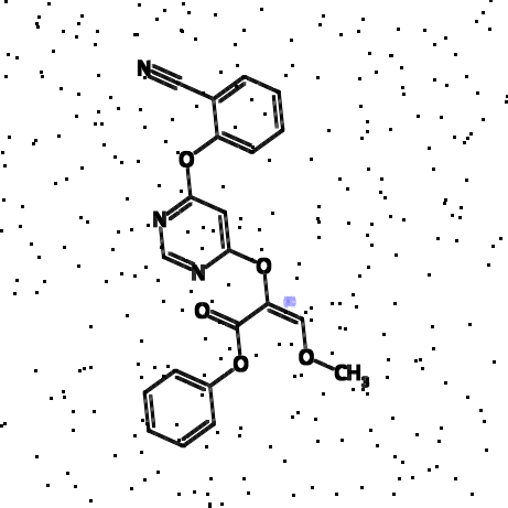 CO/C=C(/Oc1cc(Oc2ccccc2C#N)ncn1)C(=O)Oc1ccccc1